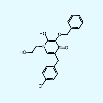 O=c1c(Cc2ccc(Cl)cc2)cn(CCO)c(O)c1OCc1ccccc1